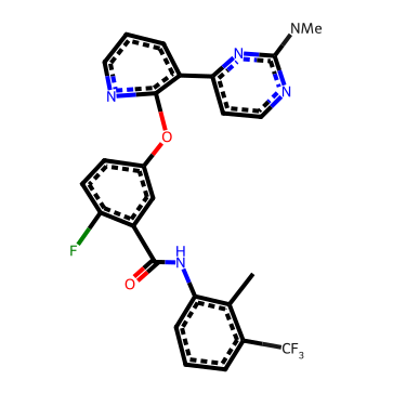 CNc1nccc(-c2cccnc2Oc2ccc(F)c(C(=O)Nc3cccc(C(F)(F)F)c3C)c2)n1